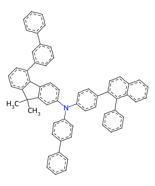 CC1(C)c2cc(N(c3ccc(-c4ccccc4)cc3)c3ccc(-c4ccc5ccccc5c4-c4ccccc4)cc3)ccc2-c2c(-c3cccc(-c4ccccc4)c3)cccc21